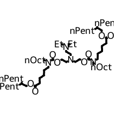 CCCCCCCCN(CCCCCC(=O)OCC(CCCCC)CCCCC)C(=O)OCCN(CCOC(=O)N(CCCCCCCC)CCCCCC(=O)OCC(CCCCC)CCCCC)CCN(CC)CC